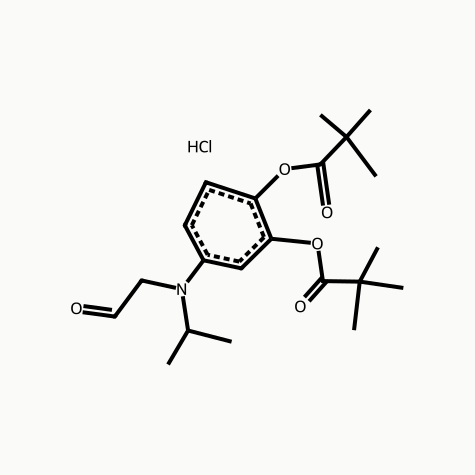 CC(C)N(CC=O)c1ccc(OC(=O)C(C)(C)C)c(OC(=O)C(C)(C)C)c1.Cl